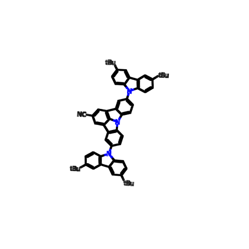 CC(C)(C)c1ccc2c(c1)c1cc(C(C)(C)C)ccc1n2-c1ccc2c(c1)c1cc(C#N)cc3c4cc(-n5c6ccc(C(C)(C)C)cc6c6cc(C(C)(C)C)ccc65)ccc4n2c13